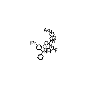 CC(=O)N1CCC2(CC(C(=O)N3CC(F)CC3C(=O)NC(c3ccccc3)c3ccc(C(C)C)cc3)=NO2)C1